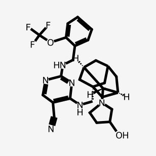 N#Cc1cnc(NCc2ccccc2OC(F)(F)F)nc1NC[C@@]12CC3C[C@H](C1)[C@@H](N1CCC(O)C1)[C@@H](C3)C2